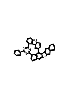 C1=CC2Oc3cccc(-c4nc(-c5ccccc5)nc(-c5ccccc5)n4)c3C2C=C1c1cccc2oc3cc4ccccc4cc3c12